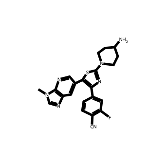 Cn1cnc2cc(-c3sc(N4CCC(N)CC4)nc3-c3ccc(C#N)c(F)c3)cnc21